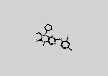 CCN1C(=O)N(C)c2cnc(Nc3ccc(F)cc3Cl)nc2N1C1CCCC1